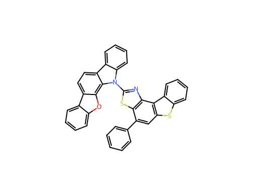 c1ccc(-c2cc3sc4ccccc4c3c3nc(-n4c5ccccc5c5ccc6c7ccccc7oc6c54)sc23)cc1